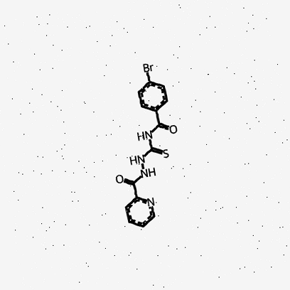 O=C(NC(=S)NNC(=O)c1ccccn1)c1ccc(Br)cc1